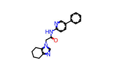 O=C(Cn1cnc2c1CCCC2)Nc1ccc(-c2ccccc2)cn1